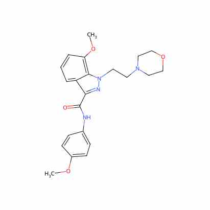 COc1ccc(NC(=O)c2nn(CCN3CCOCC3)c3c(OC)cccc23)cc1